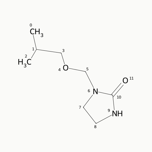 CC(C)COCN1CCNC1=O